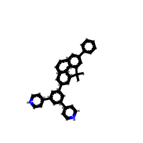 CC1(C)c2cc(-c3ccccc3)cc3ccc4cc(-c5cc(-c6ccncc6)cc(-c6ccncc6)c5)cc1c4c23